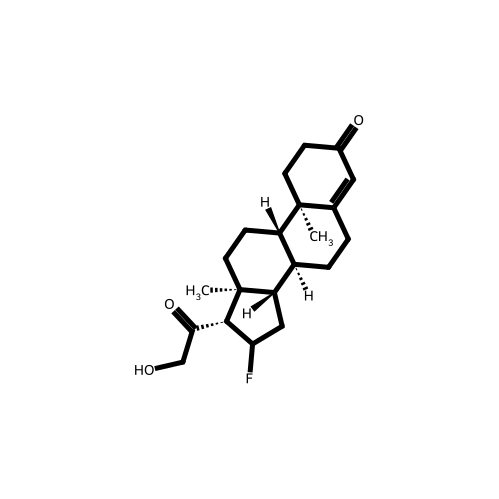 C[C@]12CC[C@H]3[C@@H](CCC4=CC(=O)CC[C@@]43C)[C@@H]1CC(F)[C@@H]2C(=O)CO